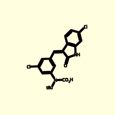 CC(C)(C)N(C(=O)O)c1cc(Cl)cc(C=C2C(=O)Nc3cc(Cl)ccc32)c1